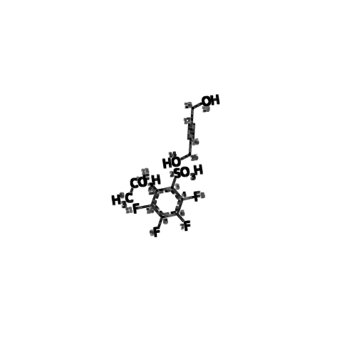 CC(=O)O.O=S(=O)(O)c1c(F)c(F)c(F)c(F)c1F.OCC#CCO